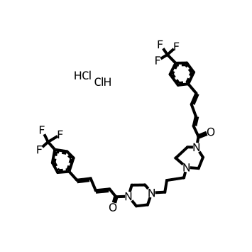 Cl.Cl.O=C(/C=C/C=C/c1ccc(C(F)(F)F)cc1)N1CCN(CCCN2CCN(C(=O)/C=C/C=C/c3ccc(C(F)(F)F)cc3)CC2)CC1